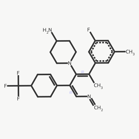 C=N/C=C(C1=CCC(C(F)(F)F)CC1)\C(=C(/C)c1cc(C)cc(F)c1)N1CCC(N)CC1